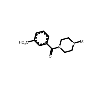 CCN1CCN(C(=O)c2cccc(C(=O)O)c2)CC1